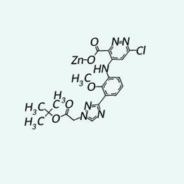 COc1c(Nc2cc(Cl)nnc2C(=O)[O][Zn])cccc1-c1ncn(CC(=O)OC(C)(C)C)n1